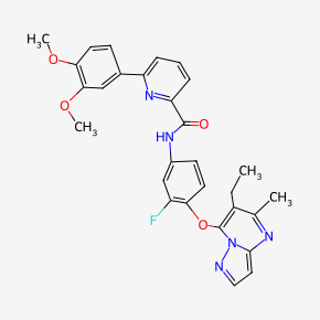 CCc1c(C)nc2ccnn2c1Oc1ccc(NC(=O)c2cccc(-c3ccc(OC)c(OC)c3)n2)cc1F